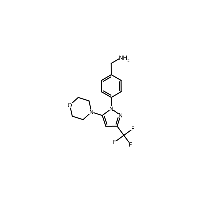 NCc1ccc(-n2nc(C(F)(F)F)cc2N2CCOCC2)cc1